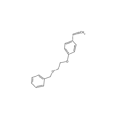 C=Cc1ccc(OCCOCc2ccccc2)cc1